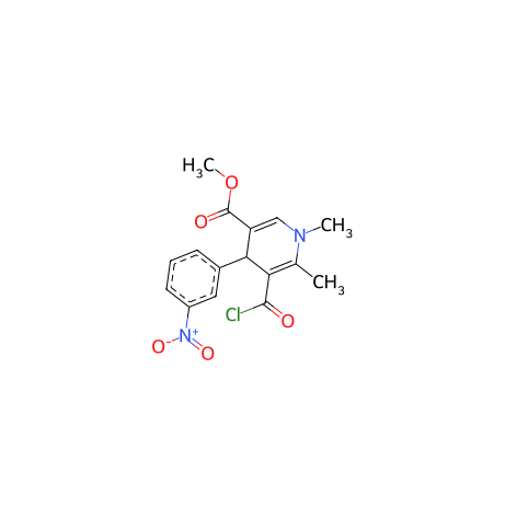 COC(=O)C1=CN(C)C(C)=C(C(=O)Cl)C1c1cccc([N+](=O)[O-])c1